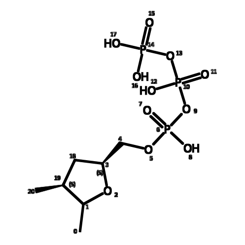 CC1O[C@H](COP(=O)(O)OP(=O)(O)OP(=O)(O)O)C[C@@H]1C